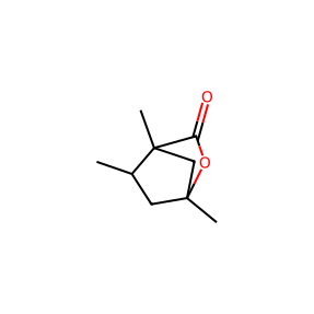 CC1CC2(C)CC1(C)C(=O)O2